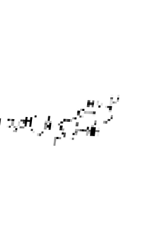 O=C1CC[C@@H](Nc2ccc(N3CCN(C(=O)O)CC3)c(F)c2)C(=O)N1